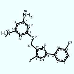 Cc1sc(-c2cccc(F)c2)nc1CSc1nc(N)cc(N)n1